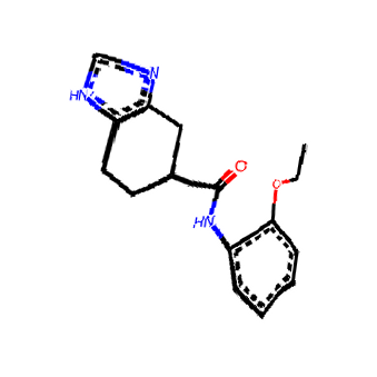 CCOc1ccccc1NC(=O)C1CCc2[nH]cnc2C1